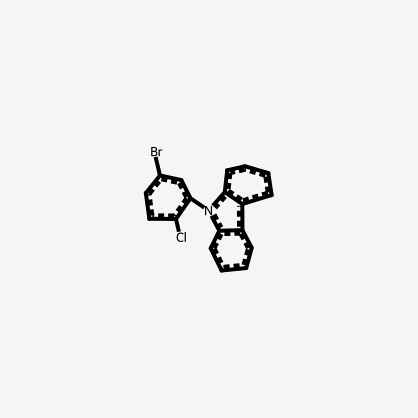 Clc1ccc(Br)cc1-n1c2ccccc2c2ccccc21